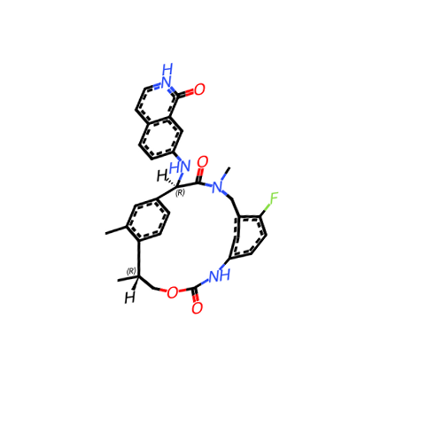 Cc1cc2ccc1[C@@H](C)COC(=O)Nc1ccc(F)c(c1)CN(C)C(=O)[C@@H]2Nc1ccc2cc[nH]c(=O)c2c1